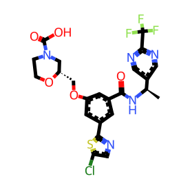 C[C@@H](NC(=O)c1cc(OC[C@H]2CN(C(=O)O)CCO2)cc(-c2ncc(Cl)s2)c1)c1cnc(C(F)(F)F)nc1